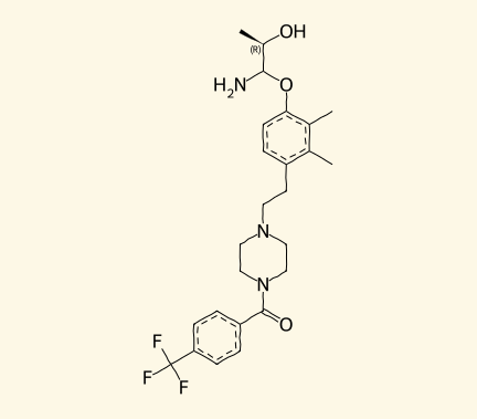 Cc1c(CCN2CCN(C(=O)c3ccc(C(F)(F)F)cc3)CC2)ccc(OC(N)[C@@H](C)O)c1C